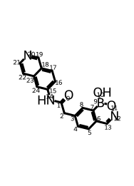 O=C(Cc1ccc2c(c1)B(O)ON=C2)Nc1ccc2cnccc2c1